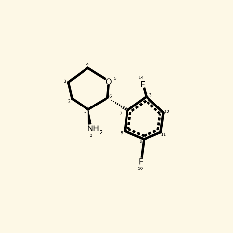 N[C@H]1CCCO[C@@H]1c1cc(F)ccc1F